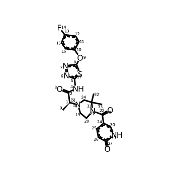 C[C@@H](C(=O)Nc1nnc(Oc2ccc(F)cc2)s1)N1CCN(C(=O)c2ccc(=O)[nH]c2)C(C)(C)C1